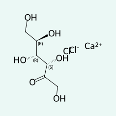 O=C(CO)[C@@H](O)[C@H](O)[C@H](O)CO.[Ca+2].[Cl-].[Cl-]